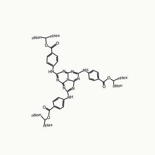 CCCCCCCCCC(CCCCCC)OC(=O)c1ccc(NC2=NC3=NC(Nc4ccc(C(=O)OC(CCCCCC)CCCCCCCCC)cc4)=NC4=NC(Nc5ccc(C(=O)OC(CCCCCC)CCCCCCCCC)cc5)=NC(=N2)N34)cc1